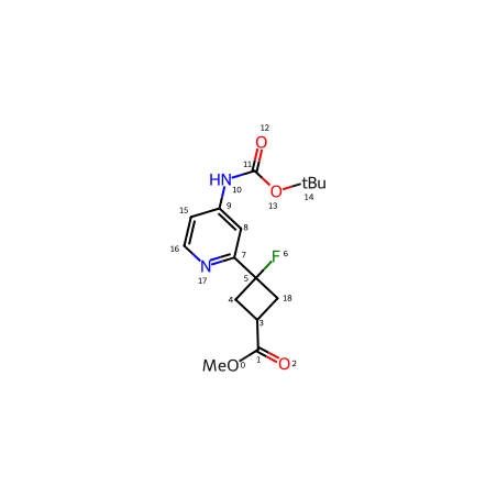 COC(=O)C1CC(F)(c2cc(NC(=O)OC(C)(C)C)ccn2)C1